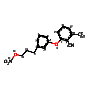 N#Cc1c(Oc2cccc(CCCO[N+](=O)[O-])c2)cccc1C(F)(F)F